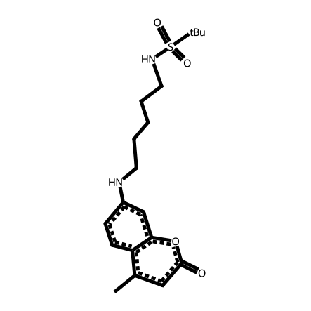 Cc1cc(=O)oc2cc(NCCCCCNS(=O)(=O)C(C)(C)C)ccc12